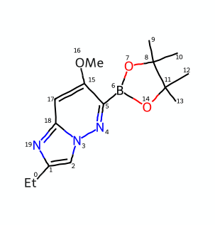 CCc1cn2nc(B3OC(C)(C)C(C)(C)O3)c(OC)cc2n1